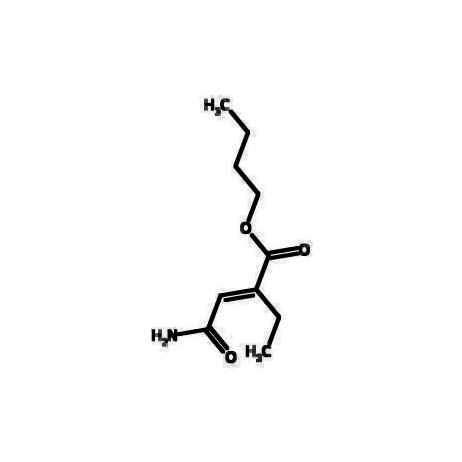 CCCCOC(=O)C(=CC(N)=O)CC